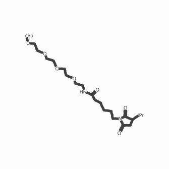 CCCCOCCOCCOCCOCCNC(=O)CCCCCN1C(=O)CC(C(C)C)C1=O